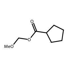 COCOC(=O)C1[CH]CCC1